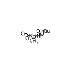 CC(CCNC(=O)OC(C)(C)C)NC(=O)CCl